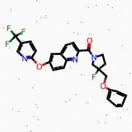 O=C(c1ccc2cc(Oc3ccc(C(F)(F)F)cn3)ccc2n1)N1CCC(F)(COc2ccccc2)C1